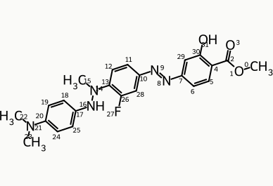 COC(=O)c1ccc(/N=N/c2ccc(N(C)Nc3ccc(N(C)C)cc3)c(F)c2)cc1O